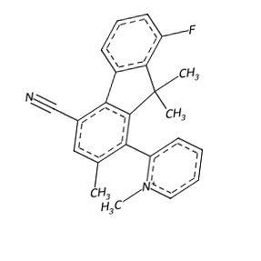 Cc1cc(C#N)c2c(c1-c1cccc[n+]1C)C(C)(C)c1c(F)cccc1-2